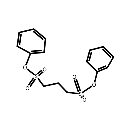 O=S(=O)(CCCS(=O)(=O)Oc1ccccc1)Oc1ccccc1